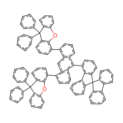 c1ccc(C2(c3ccccc3)c3ccccc3Oc3c(-c4cccc5c(-c6cccc7c6-c6ccccc6C76c7ccccc7-c7ccccc76)c6cccc(-c7cccc8c7Oc7ccccc7C8(c7ccccc7)c7ccccc7)c6cc45)cccc32)cc1